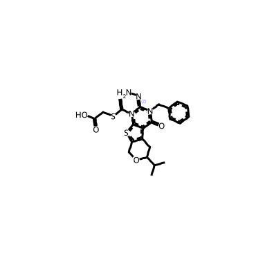 C=C(SCC(=O)O)n1/c(=N\N)n(Cc2ccccc2)c(=O)c2c3c(sc21)COC(C(C)C)C3